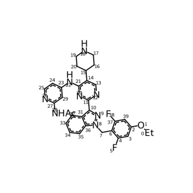 CCOc1cc(F)c(Cn2nc(-c3ncc(C4CCNCC4)c(Nc4ccnc(NC(C)=O)c4)n3)c3ccccc32)c(F)c1